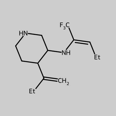 C=C(CC)C1CCNCC1N/C(=C\CC)C(F)(F)F